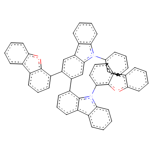 c1ccc(-n2c3ccccc3c3cc(-c4cccc5c4oc4ccccc45)c(-c4cccc5c6ccccc6n(-c6cccc7c6oc6ccccc67)c45)cc32)cc1